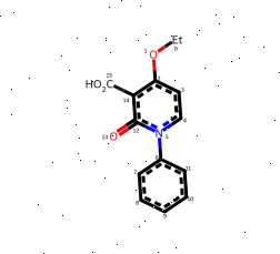 CCOc1ccn(-c2ccccc2)c(=O)c1C(=O)O